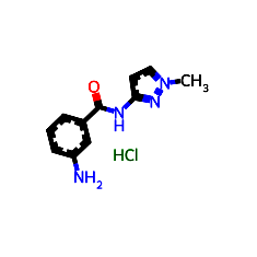 Cl.Cn1ccc(NC(=O)c2cccc(N)c2)n1